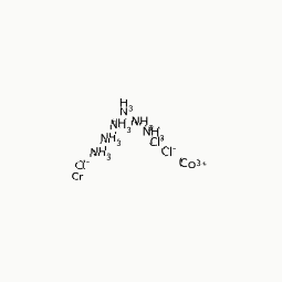 N.N.N.N.N.N.[Cl-].[Cl-].[Cl-].[Co+3].[Cr]